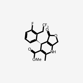 COC(=O)C1=C(C)NC2=C(C(=O)OC2)[C@H]1c1cccc(F)c1CC(F)(F)F